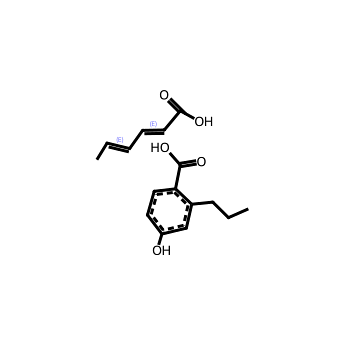 C/C=C/C=C/C(=O)O.CCCc1cc(O)ccc1C(=O)O